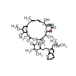 CNN(C)Cc1cc2cccnc2n1CCC(=O)N(C)[C@@H](C)C(=O)O[C@H]1CC(=O)N(C)c2cc(cc(OC)c2Cl)C/C(C)=C/C=C/[C@@H](O)[C@@]2(O)C[C@H](OC(=O)N2)[C@@H](C)C2O[C@]21C